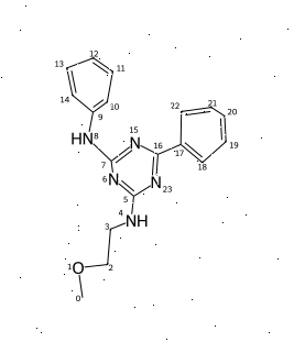 COCCNc1nc(Nc2ccccc2)nc(-c2ccccc2)n1